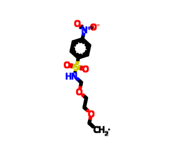 [CH2]COCCOCNS(=O)(=O)c1ccc([N+](=O)[O-])cc1